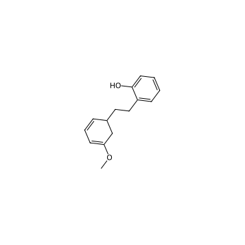 COC1=CC=CC(CCc2ccccc2O)C1